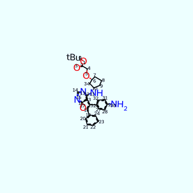 CC(C)(C)OC(=O)CO[C@H]1CCC[C@H](Nc2ncnc3oc(-c4ccccc4)c(-c4ccc(N)cc4)c23)C1